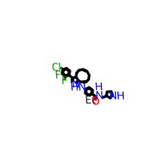 CCc1cc(N/C2=C/CC/C=C\CCC3C(c4ccc(Cl)c(F)c4F)=CN=C23)ccc1C(=O)NCC1CCNC1